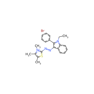 CCn1c(-c2ccccc2)c(N=Nc2sc(C)c(C)[n+]2C)c2ccccc21.[Br-]